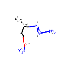 C[C@@H](CON)N=NN